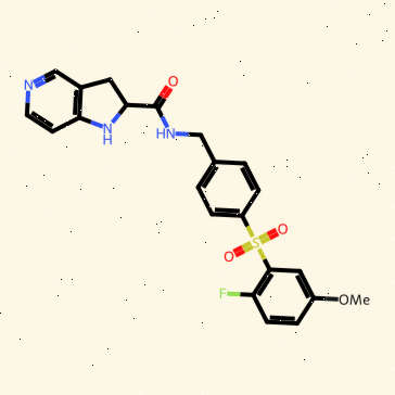 COc1ccc(F)c(S(=O)(=O)c2ccc(CNC(=O)C3Cc4cnccc4N3)cc2)c1